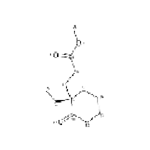 CC[C@@]1(CCC(=O)OC)CCCCC1=O